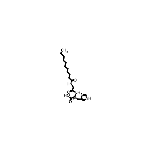 CCCCCCCCCCC(=O)NCC(=O)N[C@@H](Cc1c[nH]cn1)C(=O)O